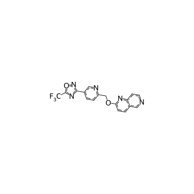 FC(F)(F)c1nc(-c2ccc(COc3ccc4cnccc4n3)nc2)no1